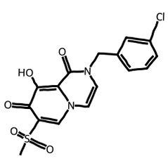 CS(=O)(=O)c1cn2ccn(Cc3cccc(Cl)c3)c(=O)c2c(O)c1=O